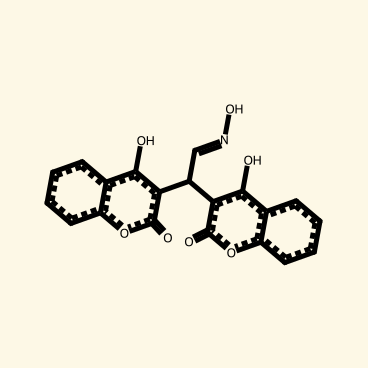 O=c1oc2ccccc2c(O)c1C(/C=N/O)c1c(O)c2ccccc2oc1=O